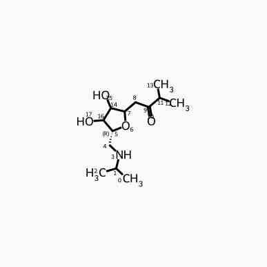 CC(C)NC[C@H]1OC(CC(=O)C(C)C)C(O)C1O